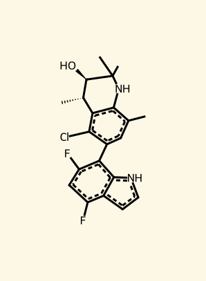 Cc1cc(-c2c(F)cc(F)c3cc[nH]c23)c(Cl)c2c1NC(C)(C)[C@H](O)[C@H]2C